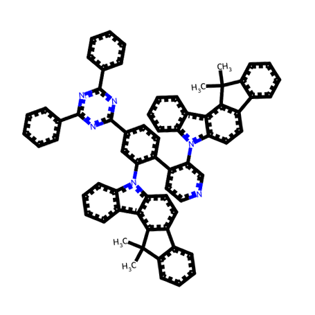 CC1(C)c2ccccc2-c2ccc3c(c21)c1ccccc1n3-c1cnccc1-c1ccc(-c2nc(-c3ccccc3)nc(-c3ccccc3)n2)cc1-n1c2ccccc2c2c3c(ccc21)-c1ccccc1C3(C)C